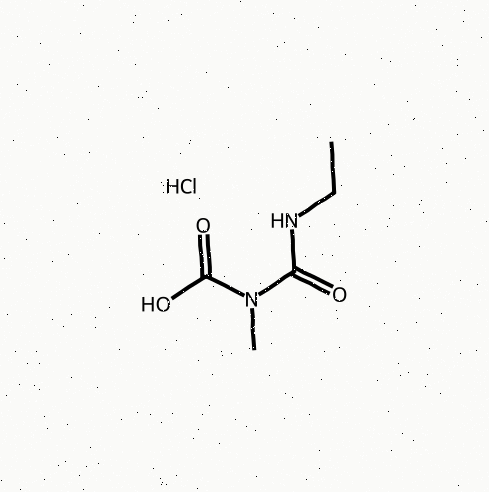 CCNC(=O)N(C)C(=O)O.Cl